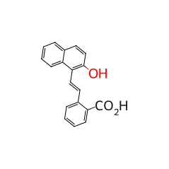 O=C(O)c1ccccc1/C=C/c1c(O)ccc2ccccc12